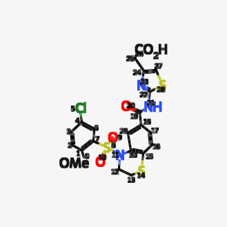 COc1ccc(Cl)cc1S(=O)(=O)N1CCSc2ccc(C(=O)Nc3nc(CC(=O)O)cs3)cc21